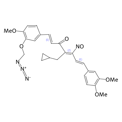 COc1ccc(/C=C/C(N=O)=C(\CC2CC2)C(=O)/C=C/c2ccc(OC)c(OCN=[N+]=[N-])c2)cc1OC